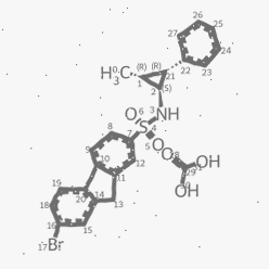 C[C@H]1[C@H](NS(=O)(=O)c2ccc3c(c2)Cc2cc(Br)ccc2-3)[C@H]1c1ccccc1.O=C(O)O